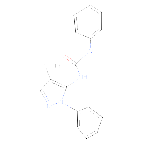 CCOC(=O)c1cnn(-c2ccccc2)c1NC(=O)Nc1ccccc1